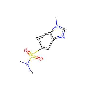 CN(C)S(=O)(=O)c1ccc2c(c1)n[c]n2C